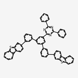 c1ccc(-c2nc(-c3ccccc3)nc(-c3cc(-c4cccc(-c5ccc6c(c5)sc5ccccc56)c4)cc(-c4cccc(-c5ccc6c(c5)sc5ccccc56)c4)c3)n2)cc1